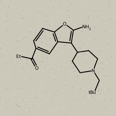 CCC(=O)c1ccc2oc(N)c(C3CCN(CC(C)(C)C)CC3)c2c1